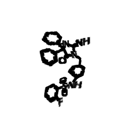 N=C1NC(c2ccccc2)(c2ccccc2)C(=O)N1Cc1ccc(NS(=O)(=O)c2ccccc2F)cc1